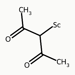 CC(=O)[CH]([Sc])C(C)=O